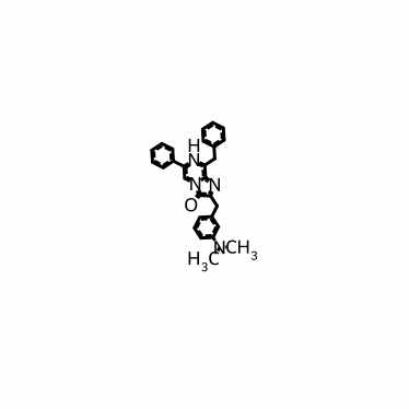 CN(C)c1cccc(Cc2nc3c(Cc4ccccc4)[nH]c(-c4ccccc4)cn-3c2=O)c1